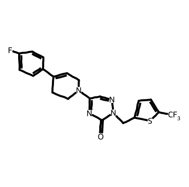 O=c1nc(N2CC=C(c3ccc(F)cc3)CC2)cnn1Cc1ccc(C(F)(F)F)s1